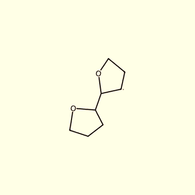 [CH]1CCOC1C1CCCO1